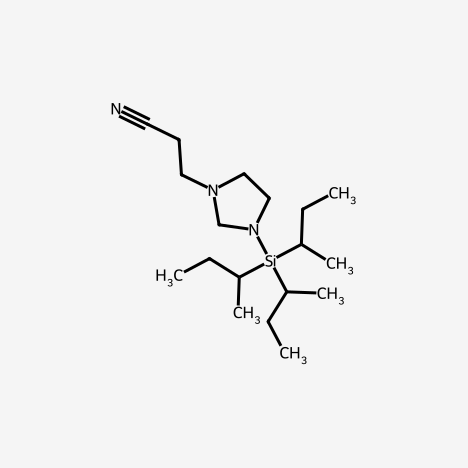 CCC(C)[Si](C(C)CC)(C(C)CC)N1CCN(CCC#N)C1